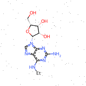 CCNc1nc(N)nc2c1ncn2[C@@H]1O[C@H](CO)[C@H](O)[C@@H]1O